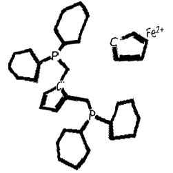 [Fe+2].c1cc(CP(C2CCCCC2)C2CCCCC2)[c-](CP(C2CCCCC2)C2CCCCC2)c1.c1cc[cH-]c1